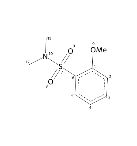 COc1c[c]ccc1S(=O)(=O)N(C)C